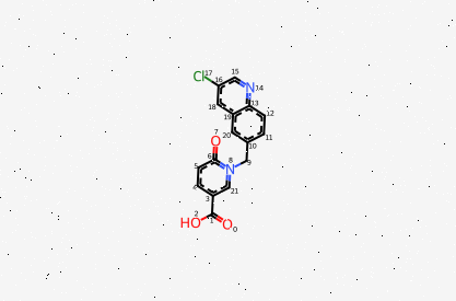 O=C(O)c1ccc(=O)n(Cc2ccc3ncc(Cl)cc3c2)c1